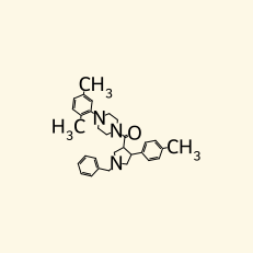 Cc1ccc(C2CN(Cc3ccccc3)CC2C(=O)N2CCN(c3cc(C)ccc3C)CC2)cc1